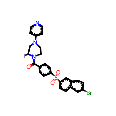 O=C(c1ccc(S(=O)(=O)c2ccc3cc(Br)ccc3c2)cc1)N1CCN(c2ccncc2)CC1I